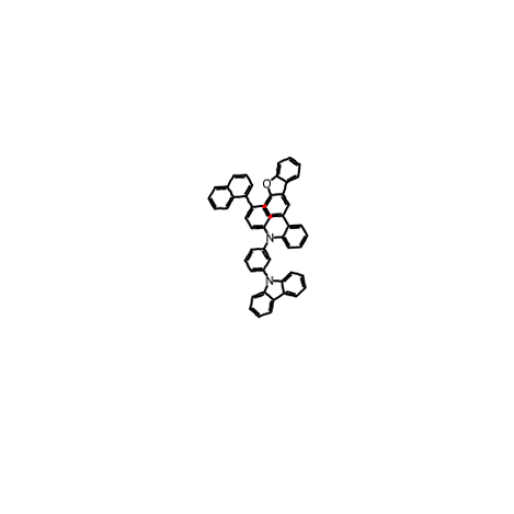 c1cc(N(c2ccc(-c3cccc4ccccc34)cc2)c2ccccc2-c2ccc3oc4ccccc4c3c2)cc(-n2c3ccccc3c3ccccc32)c1